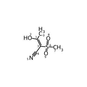 C/C(O)=C(/C#N)S(C)(=O)=O